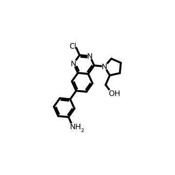 Nc1cccc(-c2ccc3c(N4CCCC4CO)nc(Cl)nc3c2)c1